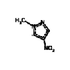 Cn1[c]c([N+](=O)[O-])cn1